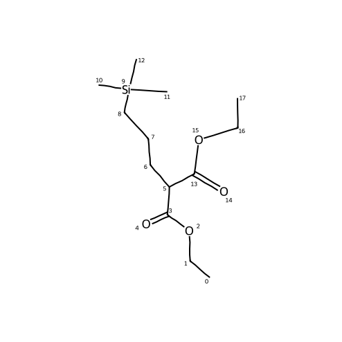 CCOC(=O)C(CCC[Si](C)(C)C)C(=O)OCC